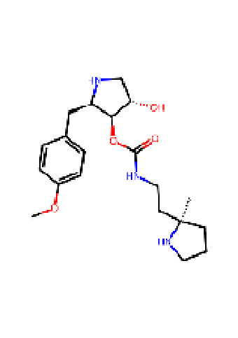 COc1ccc(C[C@H]2NC[C@H](O)[C@H]2OC(=O)NCC[C@@]2(C)CCCN2)cc1